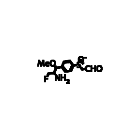 COC(c1ccc([S+]([O-])CC=O)cc1)C(N)CF